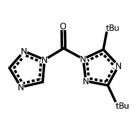 CC(C)(C)c1nc(C(C)(C)C)n(C(=O)n2cncn2)n1